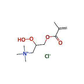 C=C(C)C(=O)OCC(C[N+](C)(C)C)OO.[Cl-]